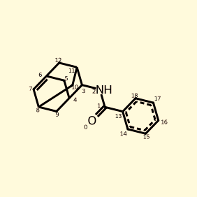 O=C(NC1C2CC3=CC(C2)CC1C3)c1ccccc1